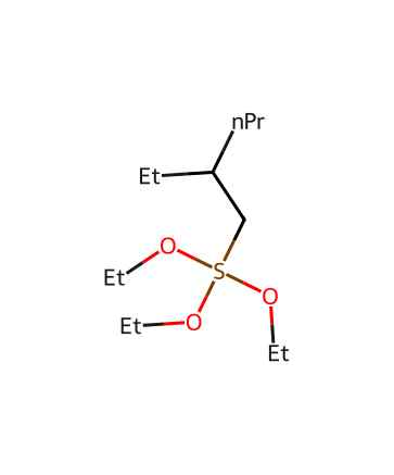 CCCC(CC)CS(OCC)(OCC)OCC